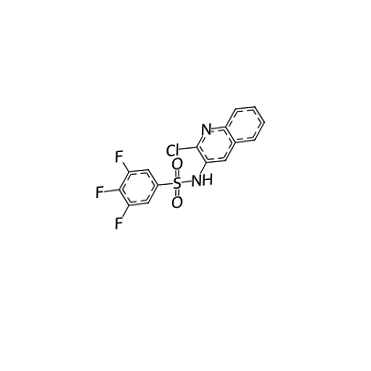 O=S(=O)(Nc1cc2ccccc2nc1Cl)c1cc(F)c(F)c(F)c1